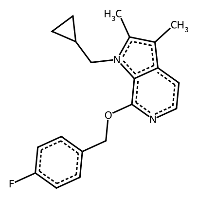 Cc1c(C)n(CC2CC2)c2c(OCc3ccc(F)cc3)nccc12